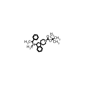 C[C@@H](c1ccccc1)N(C)[C@H]1CC2(CCN(C(=O)OC(C)(C)C)CC2)c2ccccc21